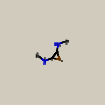 CCNC1SC1NC(C)C